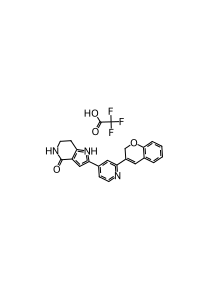 O=C(O)C(F)(F)F.O=C1NCCc2[nH]c(-c3ccnc(C4=Cc5ccccc5OC4)c3)cc21